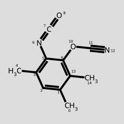 Cc1cc(C)c(N=C=O)c(OC#N)c1C